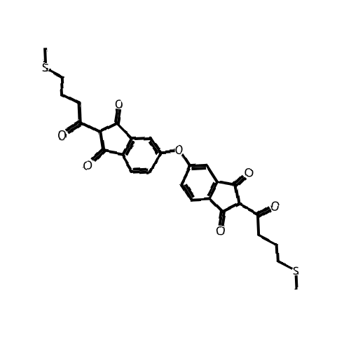 CSCCCC(=O)C1C(=O)c2ccc(Oc3ccc4c(c3)C(=O)C(C(=O)CCCSC)C4=O)cc2C1=O